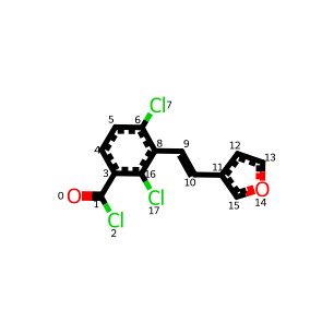 O=C(Cl)c1ccc(Cl)c(C=Cc2ccoc2)c1Cl